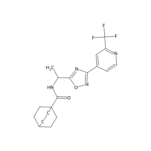 CC(NC(=O)C12CCC(CC1)CC2)c1nc(-c2ccnc(C(F)(F)F)c2)no1